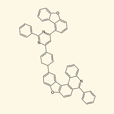 C1=CC(c2ccc3oc4ccc5c(-c6ccccc6)nc6ccccc6c5c4c3c2)CC=C1c1cc(-c2cccc3oc4ccccc4c23)nc(-c2ccccc2)n1